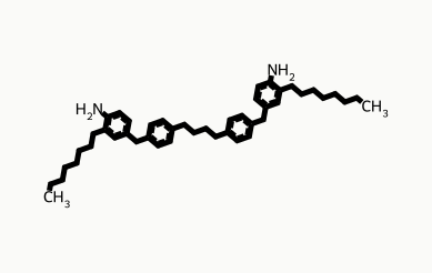 CCCCCCCCc1cc(Cc2ccc(CCCCc3ccc(Cc4ccc(N)c(CCCCCCCC)c4)cc3)cc2)ccc1N